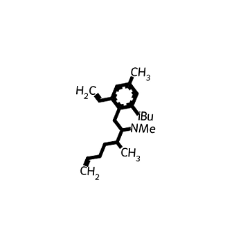 C=CCCC(C)C(Cc1c(C=C)cc(C)cc1C(C)CC)NC